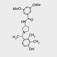 COc1cc(OC)cc(C(=O)NC2CCN(C(C)c3ccc(O)c(C)c3C)C2)c1